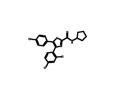 O=C(NC1CCCC1)c1nc(-c2ccc(Cl)cc2Cl)c(-c2ccc(Cl)cc2)s1